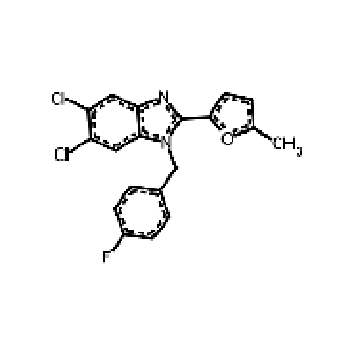 Cc1ccc(-c2nc3cc(Cl)c(Cl)cc3n2Cc2ccc(F)cc2)o1